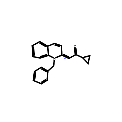 O=C(/C=C1\C=Cc2ccccc2N1Cc1ccccc1)C1CC1